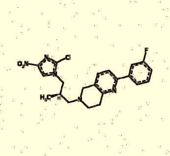 C[C@H](CN1CCc2nc(-c3cccc(F)c3)ccc2C1)Cn1cc([N+](=O)[O-])nc1Cl